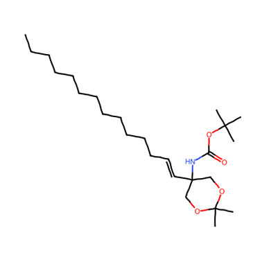 CCCCCCCCCCCCC=CC1(NC(=O)OC(C)(C)C)COC(C)(C)OC1